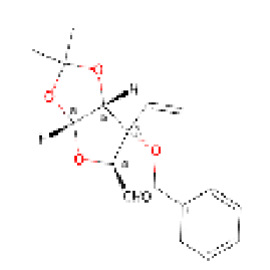 C=C[C@@]1(OCc2ccccc2)[C@@H](C=O)O[C@@H]2OC(C)(C)O[C@@H]21